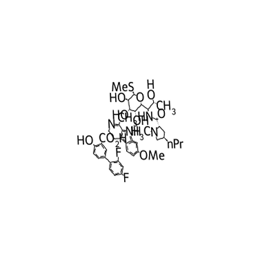 CCC[C@@H]1C[C@@H](C(=O)N[C@@H]([C@H]2O[C@H](SC)[C@H](O)[C@@H](O)[C@H]2O)[C@@H](C)O)N(C)C1.COc1ccc2c3c([nH]c2c1)C(C)=NCC3.O=C(O)c1cc(-c2ccc(F)cc2F)ccc1O